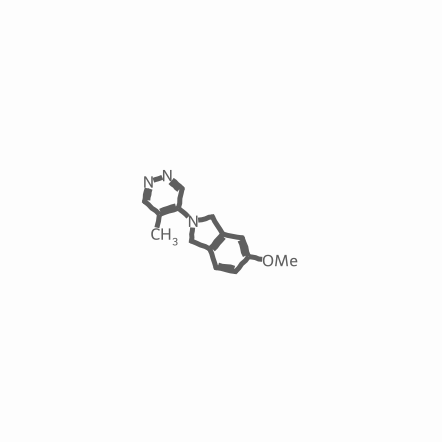 COc1ccc2c(c1)CN(c1cnncc1C)C2